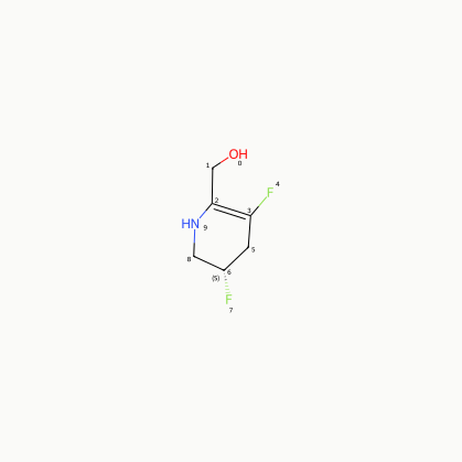 OCC1=C(F)C[C@H](F)CN1